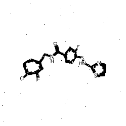 O=C(NCc1ccc(Cl)c(F)c1)c1ccc(SNc2nccs2)c(F)c1